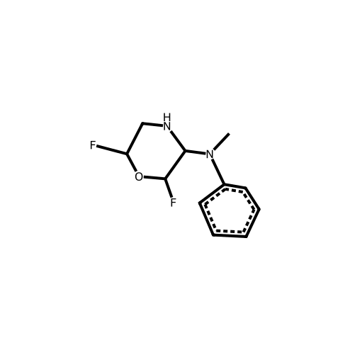 CN(c1ccccc1)C1NCC(F)OC1F